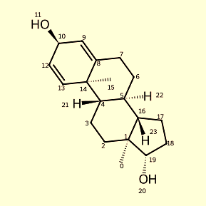 C[C@]12CC[C@H]3[C@@H](CCC4=C[C@H](O)C=C[C@@]43C)[C@@H]1CC[C@@H]2O